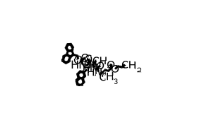 C=CCOC(=O)CC[C@@H](C)NC(=O)NN(C)C(=O)[C@H](Cc1ccc2ccccc2c1)NC(=O)OCC1c2ccccc2-c2ccccc21